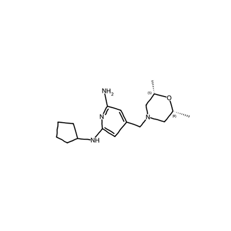 C[C@@H]1CN(Cc2cc(N)nc(NC3CCCC3)c2)C[C@H](C)O1